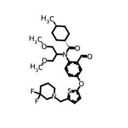 COCC(COC)N(c1ccc(Oc2ccc(CN3CCCC(F)(F)C3)s2)cc1C=O)C(=O)[C@H]1CC[C@H](C)CC1